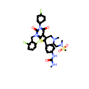 CNC(=O)Nc1ccc(-c2sc3c(c2CN(C)CCN(C)S(C)(=O)=O)c(=O)n(-c2ccc(F)cc2)c(=O)n3Cc2c(F)cccc2F)cc1